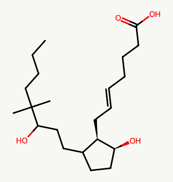 CCCCC(C)(C)C(O)CCC1CC[C@H](O)[C@@H]1CC=CCCCC(=O)O